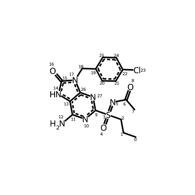 CCCS(=O)(=NC(C)=O)c1nc(N)c2[nH]c(=O)n(Cc3ccc(Cl)cc3)c2n1